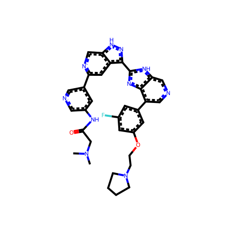 CN(C)CC(=O)Nc1cncc(-c2cc3c(-c4nc5c(-c6cc(F)cc(OCCN7CCCC7)c6)cncc5[nH]4)n[nH]c3cn2)c1